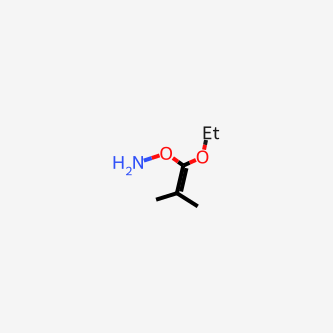 CCOC(ON)=C(C)C